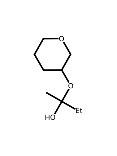 CCC(C)(O)OC1CCCOC1